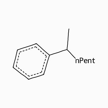 CCCCCC(C)c1ccccc1